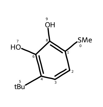 CSc1ccc(C(C)(C)C)c(O)c1O